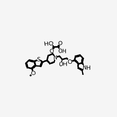 COc1cccc2sc(C3CCN(C[C@H](O)COc4cccc5[nH]c(C)cc45)CC3)cc12.O=C(O)C(=O)O